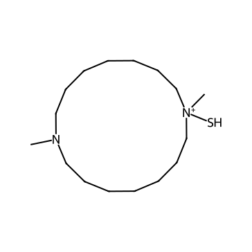 CN1CCCCCCC[N+](C)(S)CCCCCCC1